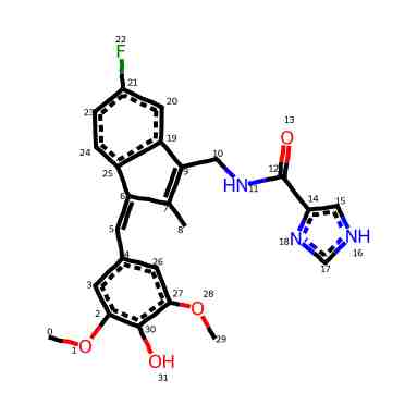 COc1cc(C=C2C(C)=C(CNC(=O)c3c[nH]cn3)c3cc(F)ccc32)cc(OC)c1O